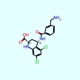 NCc1cccc(C(=O)N[C@H]2C[C@H](C(=O)O)Nc3cc(Cl)cc(Cl)c32)c1